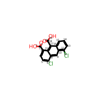 O=C(O)c1ccc(Cl)c2cc3c(Cl)cccc3c(C(=O)O)c12